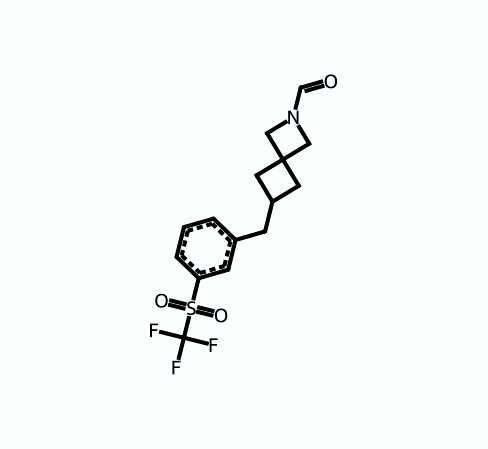 O=CN1CC2(CC(Cc3cccc(S(=O)(=O)C(F)(F)F)c3)C2)C1